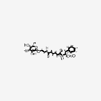 C[C@@H]1O[C@@H](OCCNC(=O)CCCCC(=O)N[C@H](C=O)Cc2ccccc2)[C@@H](O)[C@H](O)[C@@H]1O